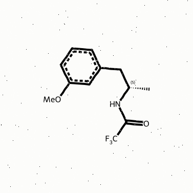 COc1cccc(C[C@H](C)NC(=O)C(F)(F)F)c1